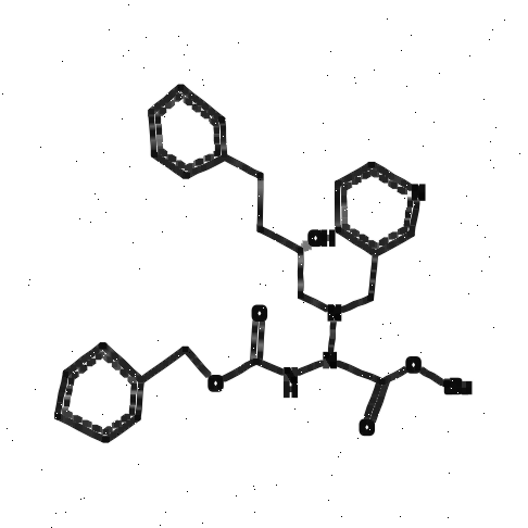 CC(C)(C)OC(=O)N(NC(=O)OCc1ccccc1)N(Cc1cccnc1)C[C@@H](O)CCc1ccccc1